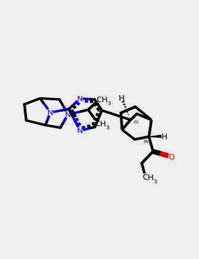 CCC(=O)[C@@H]1CC2CCC1C[C@@H]2c1cnc(N2C3CCC2CN(C(C)C)C3)nc1